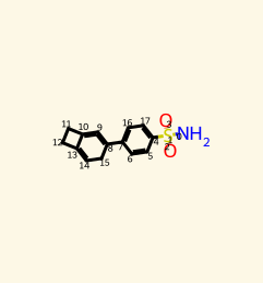 NS(=O)(=O)c1ccc(C2=C=C3CCC3=CC2)cc1